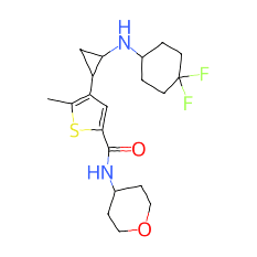 Cc1sc(C(=O)NC2CCOCC2)cc1C1CC1NC1CCC(F)(F)CC1